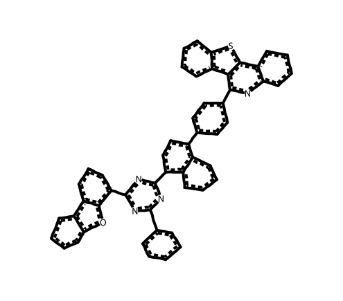 c1ccc(-c2nc(-c3ccc(-c4ccc(-c5nc6ccccc6c6sc7ccccc7c56)cc4)c4ccccc34)nc(-c3cccc4c3oc3ccccc34)n2)cc1